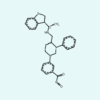 C[C@@H](NCC1CCN(c2cccc(C(=O)N=O)c2)CC1c1ccccc1)C1CSc2ccccc21